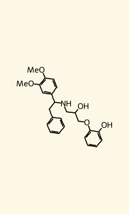 COc1ccc(C(Cc2ccccc2)NCC(O)COc2ccccc2O)cc1OC